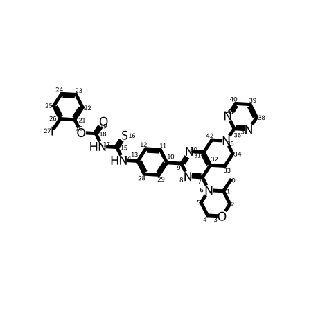 CC1COCCN1c1nc(-c2ccc(NC(=S)NC(=O)Oc3ccccc3I)cc2)nc2c1CCN(c1ncccn1)C2